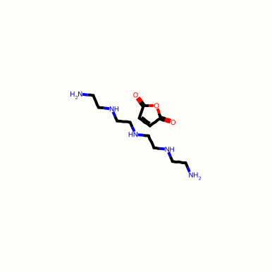 NCCNCCNCCNCCN.O=C1C=CC(=O)O1